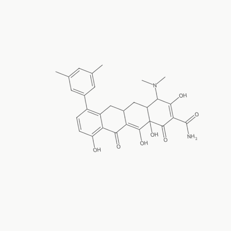 Cc1cc(C)cc(-c2ccc(O)c3c2CC2CC4C(N(C)C)C(O)=C(C(N)=O)C(=O)C4(O)C(O)=C2C3=O)c1